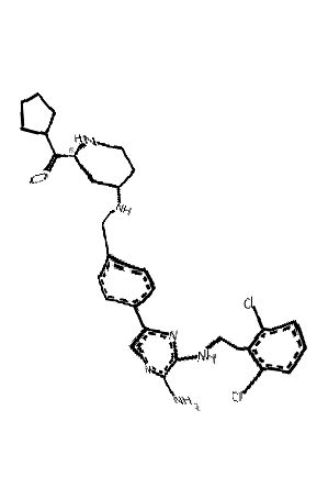 Nc1ncc(-c2ccc(CNC3CCN[C@H](C(=O)C4CCCC4)C3)cc2)nc1NCc1c(Cl)cccc1Cl